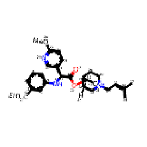 CCOC(=O)c1cccc(NC(C(=O)O[C@H]2C[N+]3(CC=C(C)C)CCC2CC3)c2ccc(OC)nc2)c1